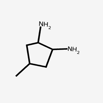 CC1CC(N)C(N)C1